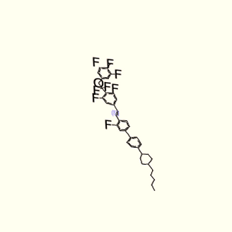 CCCCCC1CCC(c2ccc(-c3ccc(/C=C/c4cc(F)c(C(F)(F)Oc5cc(F)c(F)c(F)c5)c(F)c4)c(F)c3)cc2)CC1